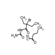 CCC(Br)(CC)C(=O)NC(N)=O.CCCC(C)=O